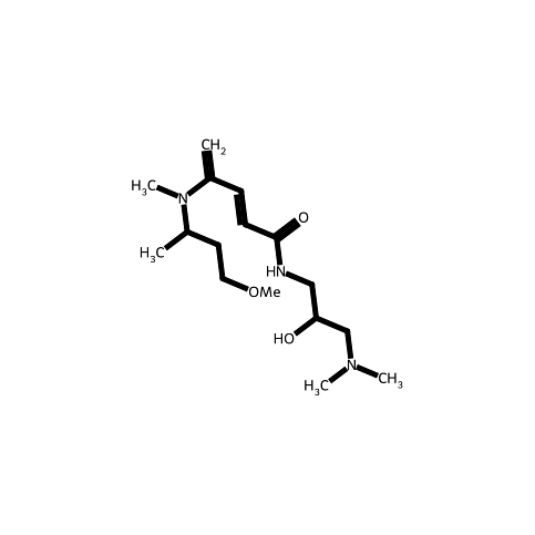 C=C(/C=C/C(=O)NCC(O)CN(C)C)N(C)C(C)CCOC